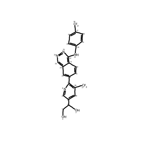 OCC(O)c1cnc(-c2ccc3c(Nc4ccc(C(F)(F)F)cc4)nncc3c2)c(C(F)(F)F)c1